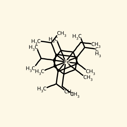 CC[C]12[C]3(C)[C]4(C(C)C)[C]5(C(C)C)[C]1(C)[Fe]32451678[C]2(C)[C]1(CC)[C]6(C)[C]7(C(C)C)[C]28C(C)C